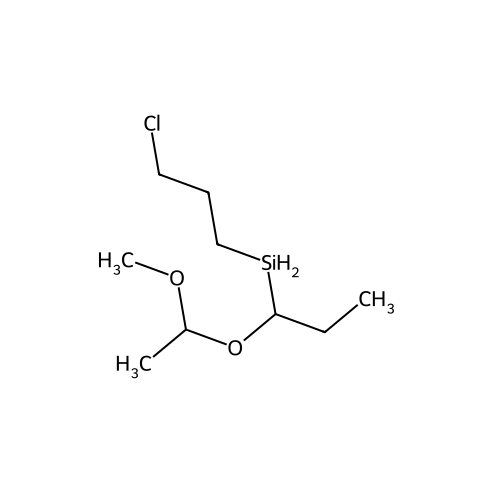 CCC(OC(C)OC)[SiH2]CCCCl